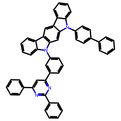 c1ccc(-c2ccc(-n3c4ccccc4c4cc5c6ccccc6n(-c6cccc(-c7cc(-c8ccccc8)nc(-c8ccccc8)n7)c6)c5cc43)cc2)cc1